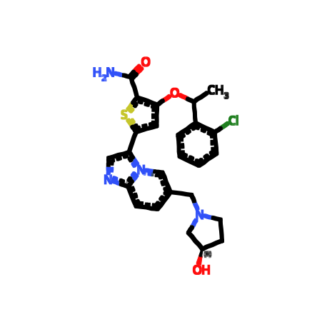 CC(Oc1cc(-c2cnc3ccc(CN4CC[C@@H](O)C4)cn23)sc1C(N)=O)c1ccccc1Cl